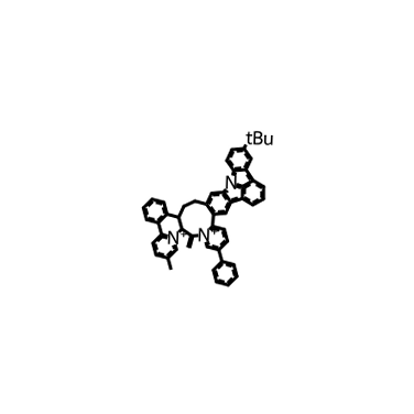 C=C1C2C(CCc3cc4c(cc3-c3ccc(-c5ccccc5)c[n+]31)c1cccc3c5cc(C(C)(C)C)ccc5n4c31)c1ccccc1-c1ccc(C)c[n+]12